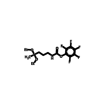 CCO[Si](C)(CCCNC(=O)Oc1c(F)c(F)c(F)c(F)c1F)OCC